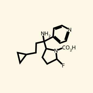 NC(CCC1CC1)(c1ccncc1)C1CCC(F)N1C(=O)O